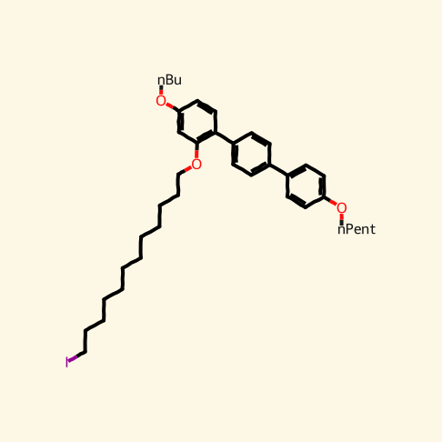 CCCCCOc1ccc(-c2ccc(-c3ccc(OCCCC)cc3OCCCCCCCCCCCCI)cc2)cc1